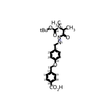 CC(C(=O)/N=N/Cc1ccc(OCc2ccc(C(=O)O)cc2)cc1)N(C)C(=O)OC(C)(C)C